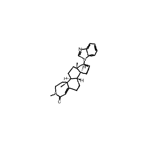 CN1CC[C@@]2(C)C(=CC1=O)CC[C@@H]1[C@@H]2CC[C@]2(C)C(n3cnc4ccccc43)=CC[C@@H]12